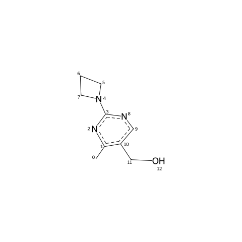 Cc1nc(N2CCC2)ncc1CO